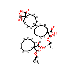 C=COC(=O)C1(C(=O)O)CCCCCCCCC1.C=COC(=O)C1(C(=O)O)CCCCCCCCC1.O=C(O)C1(C(=O)O)CCCCCCCCC1